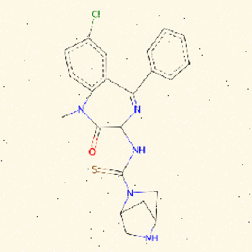 CN1C(=O)C(NC(=S)N2CC3CC2CN3)N=C(c2ccccc2)c2cc(Cl)ccc21